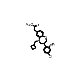 CCCc1cc(Cl)ccc1C1COc2ccc(CC(=O)OC)cc2N(CC2CCC2)C1